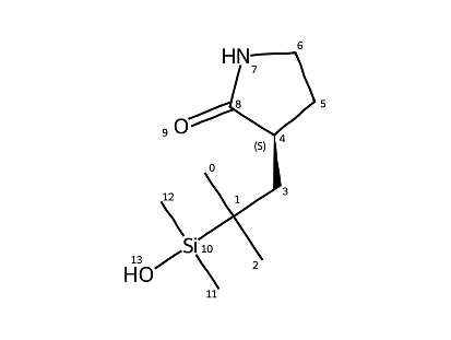 CC(C)(C[C@@H]1CCNC1=O)[Si](C)(C)O